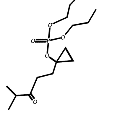 CCCOP(=O)(OCCC)OC1(CCC(=O)C(C)C)CC1